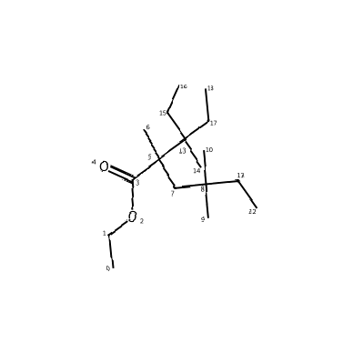 CCOC(=O)C(C)(CC(C)(C)CC)C(C)(CC)CC